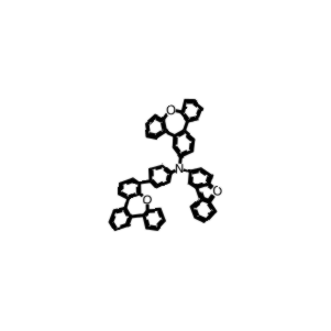 c1ccc2c(c1)Oc1ccccc1-c1cc(N(c3ccc(-c4cccc5c4Oc4ccccc4-c4ccccc4-5)cc3)c3ccc4oc5ccccc5c4c3)ccc1-2